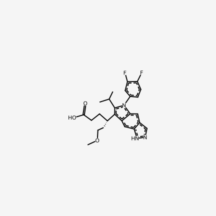 COCC[C@H](CCC(=O)O)c1c(C(C)C)n(-c2ccc(F)c(F)c2)c2cc3cn[nH]c3cc12